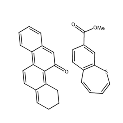 COC(=O)c1ccc2c(c1)SC=CC=C2.O=C1C=c2ccccc2=c2ccc3c(c21)CCCC=3